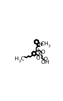 CCC/C=C/c1ccc2c(c1)C(=O)N(CCC(=O)O)C(=O)CN2Cc1cn(C)c2ccccc12